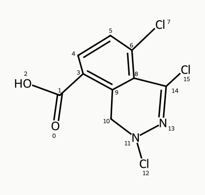 O=C(O)c1ccc(Cl)c2c1CN(Cl)N=C2Cl